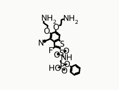 N#Cc1c(OCCN)c(OCCN)cc2sc(S(=O)(=O)NCP(=O)(O)Oc3ccccc3)c(F)c12